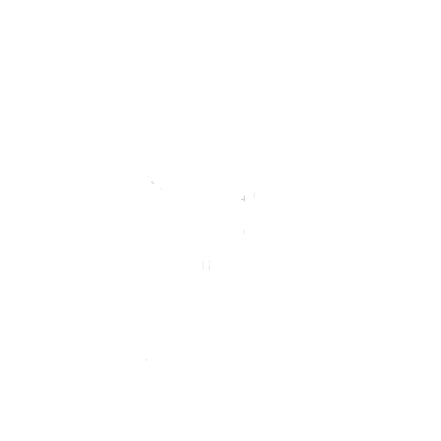 CC(C)(C)c1cccc([SiH](O[SiH](c2ccccc2)c2cccc(C(C)(C)C)c2)c2ccccc2)c1